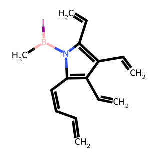 C=C/C=C\c1c(C=C)c(C=C)c(C=C)n1B(C)I